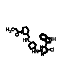 C=CC(=O)N1CCCC(CN[C@H]2CC[C@H](Nc3ncc(Cl)c(-c4c[nH]c5ccccc45)n3)CC2)C1